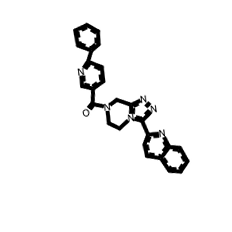 O=C(c1ccc(-c2ccccc2)nc1)N1CCn2c(nnc2-c2ccc3ccccc3n2)C1